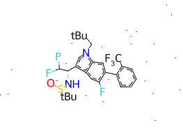 CC(C)(C)Cn1cc([C@H](N[S+]([O-])C(C)(C)C)C(F)F)c2cc(F)c(-c3ccccc3C(F)(F)F)cc21